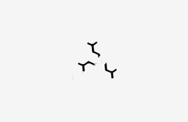 CC(C)C[CH2][Zr+]([CH2]CC(C)C)[CH2]CC(C)C.[OH-]